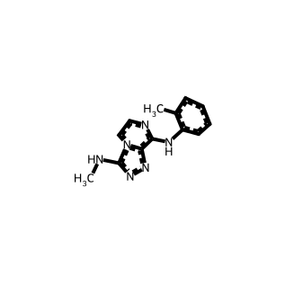 CNc1nnc2c(Nc3ccccc3C)nccn12